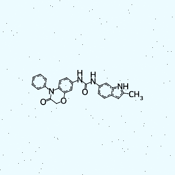 Cc1cc2ccc(NC(=O)Nc3ccc4c(c3)OCC(=O)N4c3ccccc3)cc2[nH]1